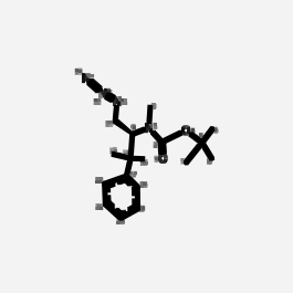 CN(C(=O)OC(C)(C)C)[C@H](CN=[N+]=[N-])C(C)(C)c1ccccc1